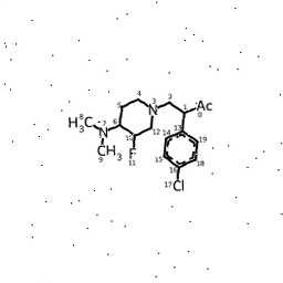 CC(=O)C(CN1CCC(N(C)C)C(F)C1)c1ccc(Cl)cc1